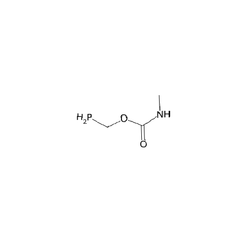 CNC(=O)OCP